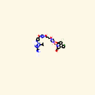 CC(C)(C)[C@@H](CS(=O)(=O)N1CCN(C(=O)CCCC(=O)N2CCN(C(=O)c3ccc(Nc4nc(C5CC5)cn5c(-c6cn[nH]c6)cnc45)c(F)c3)CC2)CC1)N1C(=O)[C@@](C)(CC(=O)O)C[C@H](c2cccc(Cl)c2)[C@H]1c1ccc(Cl)cc1